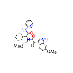 COCCN(C(=O)C(=O)c1c[nH]c2cc(OC)ccc12)C(C(=O)Nc1ccccn1)C1CCCCC1